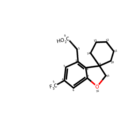 O=C(O)Cc1cc(C(F)(F)F)cc2c1C1(CCCCC1)CO2